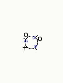 C/C1=C/CC(=O)/C(C)=C\CC(=O)/C(C)=C\C2C(CC1)C2(C)C